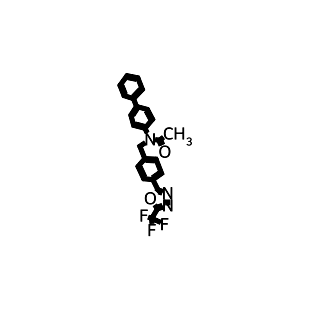 CC(=O)N(Cc1ccc(-c2nnc(C(F)(F)F)o2)cc1)c1ccc(-c2ccccc2)cc1